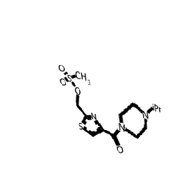 CC(C)N1CCN(C(=O)c2csc(COS(C)(=O)=O)n2)CC1